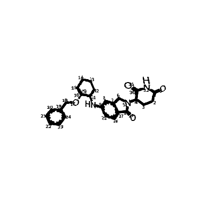 O=C1CCC(N2Cc3cc(NC4CCCC[C@@H]4OCc4ccccc4)ccc3C2=O)C(=O)N1